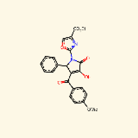 CCOC(=O)c1coc(N2C(=O)C(O)=C(C(=O)c3ccc(OC)cc3)C2c2ccccc2)n1